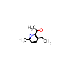 CCc1ccc(C)nc1C(C)=O